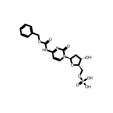 O=C(Nc1ccn([C@H]2C[C@H](O)[C@@H](COP(=O)(O)O)O2)c(=O)n1)OCc1ccccc1